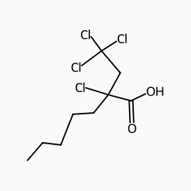 CCCCCC(Cl)(CC(Cl)(Cl)Cl)C(=O)O